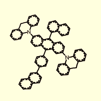 c1ccc2c(c1)Cc1ccccc1N2c1ccc2c(-c3cccc4ccccc34)c3cc(N4c5ccccc5Cc5ccccc54)ccc3c(-c3ccc(-c4ccc5ccccc5c4)cc3)c2c1